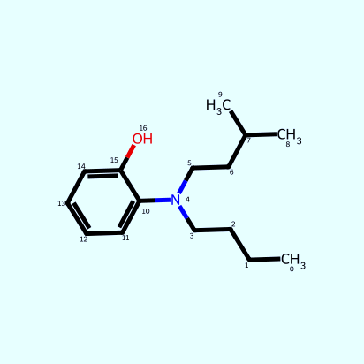 CCCCN(CCC(C)C)c1ccccc1O